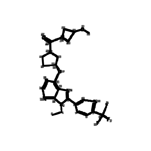 CCn1c(-c2ccc(C(F)(F)F)nc2)nc2c(O[C@H]3CCN(C(=O)N4CC(OC)C4)C3)ncnc21